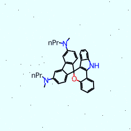 CCCN(C)c1ccc2c(c1)-c1cc(N(C)CCC)ccc1C21Oc2ccccc2-c2[nH]c3ccccc3c21